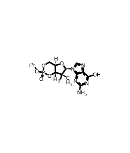 CC(C)OP1(=O)OC[C@H]2O[C@@H](n3cnc4c(O)nc(N)nc43)[C@](C)(F)[C@@H]2O1